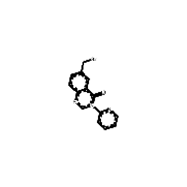 O=c1c2cc(CBr)ccc2ncn1-c1ccccn1